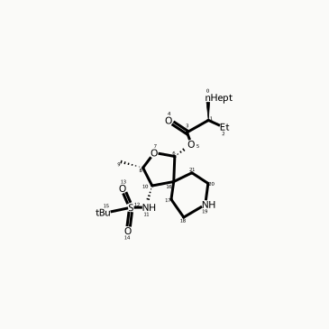 CCCCCCC[C@@H](CC)C(=O)O[C@H]1O[C@@H](C)[C@@H](NS(=O)(=O)C(C)(C)C)C12CCNCC2